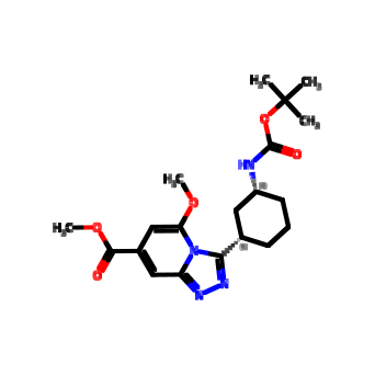 COC(=O)c1cc(OC)n2c([C@H]3CCC[C@@H](NC(=O)OC(C)(C)C)C3)nnc2c1